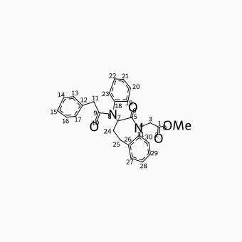 COC(=O)CN1C(=O)C(N(C(=O)Cc2ccccc2)c2ccccc2)CCc2ccccc21